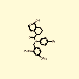 COc1ccc(CN(C(=O)C2CCCc3c(O)cccc32)c2ccc(C(C)C)nc2)c(OC)n1